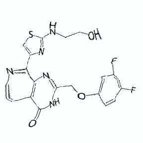 O=c1[nH]c(COc2ccc(F)c(F)c2)nc2c(-c3csc(NCCO)n3)nccc12